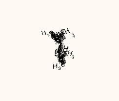 CCNC(=O)NS(=O)(=O)c1cc(CCNC(=O)/C=C/c2ccc(OC)cc2OC)ccc1OCCOC